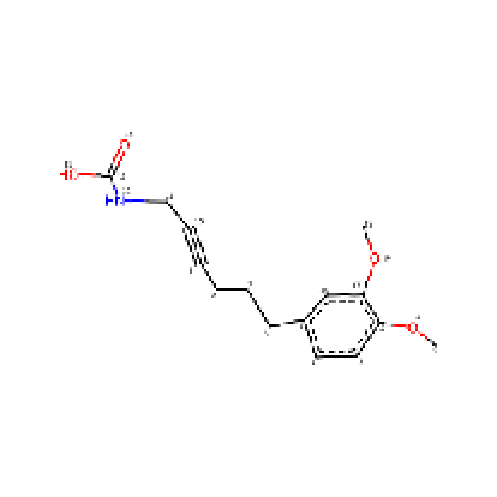 COc1ccc(CCCC#CCNC(=O)O)cc1OC